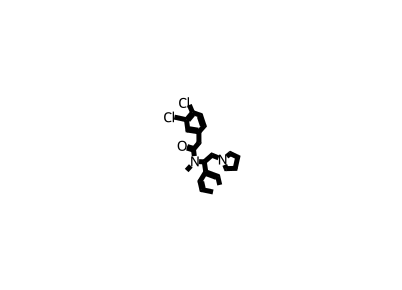 C/C=C\C(=C/C)C(CN1CCCC1)N(C)C(=O)Cc1ccc(Cl)c(Cl)c1